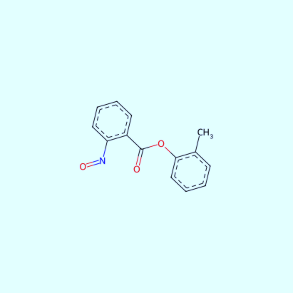 Cc1ccccc1OC(=O)c1ccccc1N=O